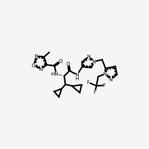 Cc1nonc1C(=O)N[C@H](C(=O)Nc1cnn(Cc2ccnn2CC(F)(F)F)c1)C(C1CC1)C1CC1